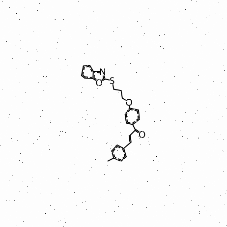 Cc1ccc(C=CC(=O)c2ccc(OCCCSc3nc4ccccc4o3)cc2)cc1